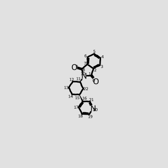 O=C1c2ccccc2C(=O)N1[C@@H]1CCC[C@H](c2cccnc2)C1